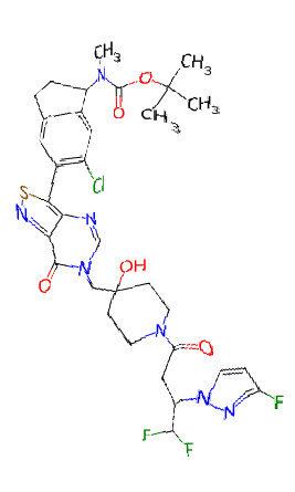 CN(C(=O)OC(C)(C)C)C1CCc2cc(-c3snc4c(=O)n(CC5(O)CCN(C(=O)CC(C(F)F)n6ccc(F)n6)CC5)cnc34)c(Cl)cc21